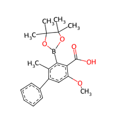 COc1cc(-c2ccccc2)c(C)c(B2OC(C)(C)C(C)(C)O2)c1C(=O)O